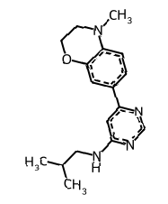 CC(C)CNc1cc(-c2ccc3c(c2)OCCN3C)ncn1